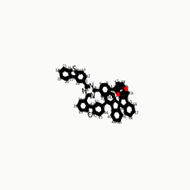 c1ccc(-c2ccc(-c3nc(-c4ccc5sc6ccccc6c5c4)nc(-c4cccc5oc6ccc(-c7cccc8c7-c7ccccc7C87c8ccccc8-c8ccccc87)cc6c45)n3)cc2)cc1